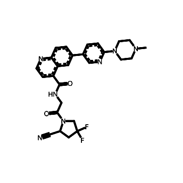 CN1CCN(c2ccc(-c3ccc4nccc(C(=O)NCC(=O)N5CC(F)(F)CC5C#N)c4c3)cn2)CC1